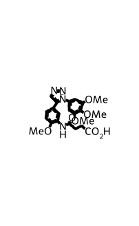 COc1ccc(-c2cnnn2-c2cc(OC)c(OC)c(OC)c2)cc1NC(=O)CCC(=O)O